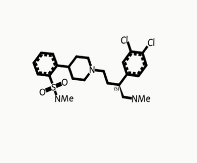 CNC[C@@H](CCN1CCC(c2ccccc2S(=O)(=O)NC)CC1)c1ccc(Cl)c(Cl)c1